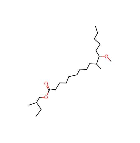 CCCCCC(OC)C(C)CCCCCCCCC(=O)OCC(C)CC